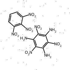 Nc1c([N+](=O)[O-])c(N)c([N+](=O)[O-])c(N)c1[N+](=O)[O-].O=[N+]([O-])c1cccc([N+](=O)[O-])c1[N+](=O)[O-]